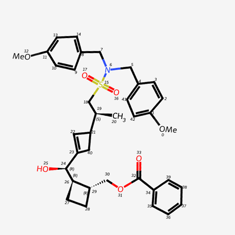 COc1ccc(CN(Cc2ccc(OC)cc2)S(=O)(=O)C[C@@H](C)C2C=C([C@H](O)[C@@H]3CC[C@H]3COC(=O)c3ccccc3)C2)cc1